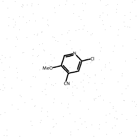 COc1cnc(Cl)cc1C#N